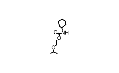 CC(C)OCCOC(=O)NC1CCCCC1